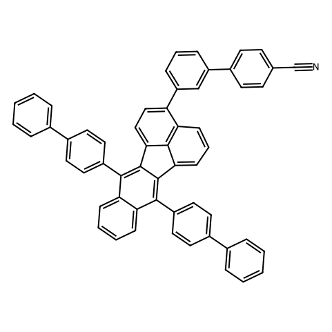 N#Cc1ccc(-c2cccc(-c3ccc4c5c(cccc35)-c3c-4c(-c4ccc(-c5ccccc5)cc4)c4ccccc4c3-c3ccc(-c4ccccc4)cc3)c2)cc1